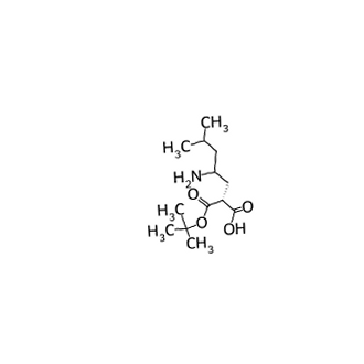 CC(C)CC(N)C[C@H](C(=O)O)C(=O)OC(C)(C)C